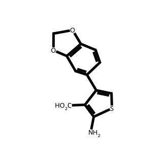 Nc1scc(-c2ccc3c(c2)OCO3)c1C(=O)O